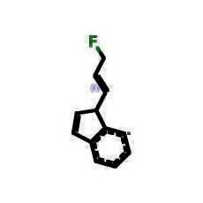 FC/C=C/C1C=Cc2ccc[c]c21